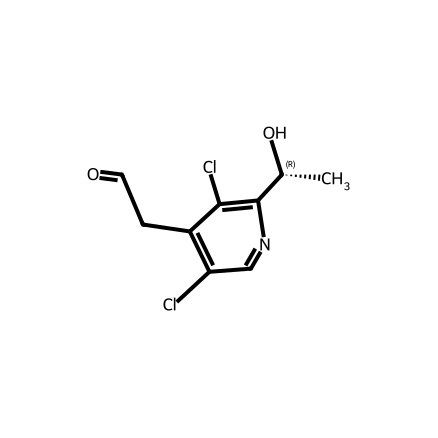 C[C@@H](O)c1ncc(Cl)c(CC=O)c1Cl